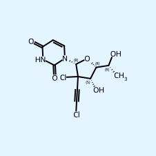 C[C@@H](O)[C@H]1O[C@@H](n2ccc(=O)[nH]c2=O)C(Cl)(C#CCl)[C@H]1O